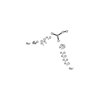 O.O.O.O.O.O.O.O.O.O.[Na+].[Na+].[Na+].[O-]OB([O-])[O-]